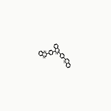 c1ccc2nc(-c3ccc(-c4cc5ccccc5c(-c5ccc(-c6cnc7ccccc7n6)cc5)n4)cc3)ccc2c1